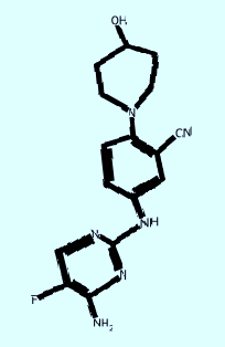 N#Cc1cc(Nc2ncc(F)c(N)n2)ccc1N1CCC(O)CC1